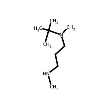 CNCCCN(C)C(C)(C)C